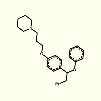 C[C](C)CC(Oc1ccccc1)c1ccc(OCCCN2CCCCC2)cc1